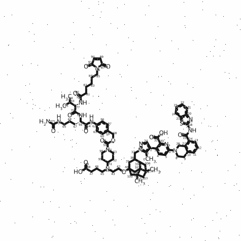 Cc1c(-c2ccc(N3CCc4cccc(C(=O)Nc5nc6ccccc6s5)c4C3)nc2C(=O)O)cnn1CC12CC3(OCCN(CCCC(=O)O)C4CCN(C(=O)OCc5ccc(NC(=O)[C@H](CCCNC(N)=O)NC(=O)[C@@H](NC(=O)CCCCCN6C(=O)C=CC6=O)C(C)C)cc5)CC4)CC4(C)CC(C)(C1)C4(C2)C3